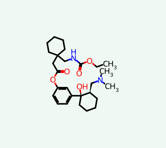 CCOC(=O)NCC1(CC(=O)Oc2cccc([C@@]3(O)CCCC[C@@H]3CN(C)C)c2)CCCCC1